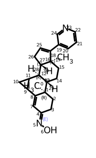 C[C@]12CC/C(=N\O)C=C1C1CC1[C@@H]1[C@@H]2CC[C@]2(C)C(c3cccnc3)=CC[C@@H]12